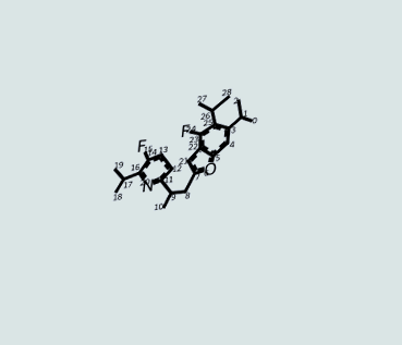 CC(C)c1cc2oc(CC(C)c3ccc(F)c(C(C)C)n3)cc2c(F)c1C(C)C